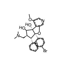 COc1cncc2c1[C@]1(O)[C@H](O)[C@H](CN(C)C)[C@@H](c3ccccc3)[C@]1(c1ccc(Br)cc1)O2